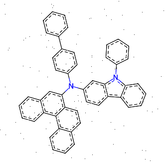 c1ccc(-c2ccc(N(c3ccc4c5ccccc5n(-c5ccccc5)c4c3)c3cc4ccccc4c4c3ccc3ccccc34)cc2)cc1